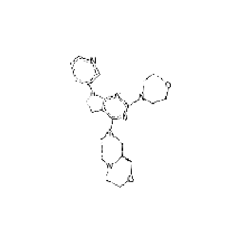 c1cncc(N2CCc3c(N4CCN5CCOCC5C4)nc(N4CCOCC4)nc32)c1